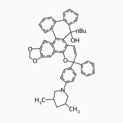 CCCCC1(O)c2ccccc2-c2ccccc2-c2c1c1c(c3cc4c(cc23)OCO4)OC(c2ccccc2)(c2ccc(N3CC(C)CC(C)C3)cc2)C=C1